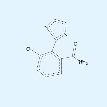 NC(=O)c1cccc(Cl)c1-c1nccs1